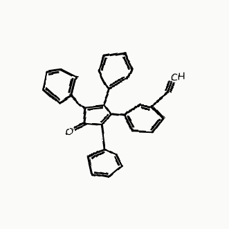 C#Cc1cccc(C2=C(c3ccccc3)C(=O)C(c3ccccc3)=C2c2ccccc2)c1